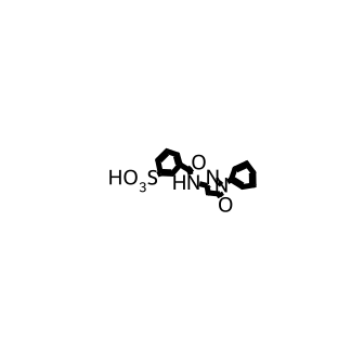 O=C(NC1=NN(c2ccccc2)C(=O)C1)c1cccc(S(=O)(=O)O)c1